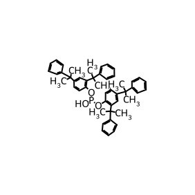 CC(C)(c1ccccc1)c1ccc(OP(O)Oc2ccc(C(C)(C)c3ccccc3)cc2C(C)(C)c2ccccc2)c(C(C)(C)c2ccccc2)c1